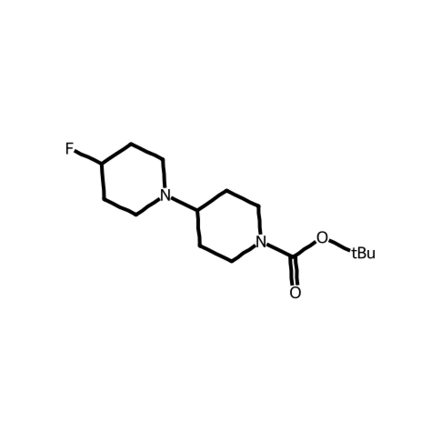 CC(C)(C)OC(=O)N1CCC(N2CCC(F)CC2)CC1